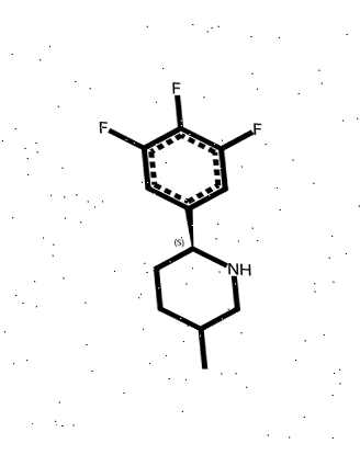 CC1CC[C@@H](c2cc(F)c(F)c(F)c2)NC1